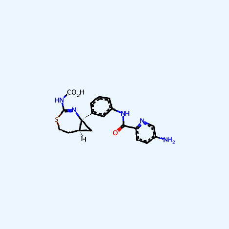 Nc1ccc(C(=O)Nc2cccc([C@]34C[C@H]3CCSC(NC(=O)O)=N4)c2)nc1